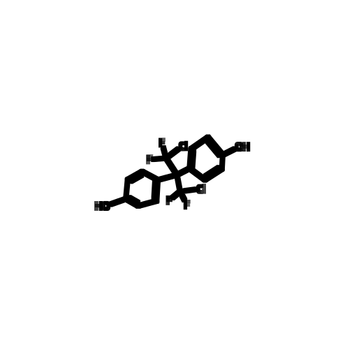 Oc1ccc(C(c2ccc(O)cc2)(C(F)(F)Cl)C(F)(F)Cl)cc1